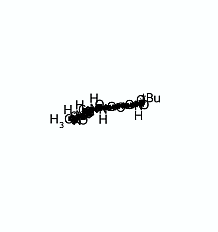 Cc1cnc(NC(=O)c2ccc(NCC(=O)NCCOCCOCCOCCNC(=O)OC(C)(C)C)cc2C)s1